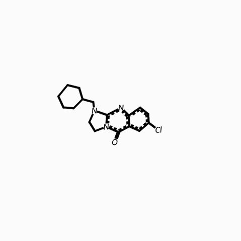 O=c1c2cc(Cl)ccc2nc2n1CCN2CC1CCCCC1